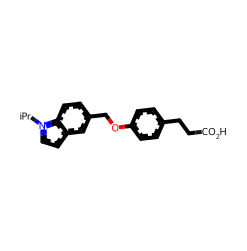 CC(C)n1ccc2cc(COc3ccc(CCC(=O)O)cc3)ccc21